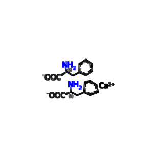 N[C@@H](Cc1ccccc1)C(=O)[O-].N[C@@H](Cc1ccccc1)C(=O)[O-].[Ca+2]